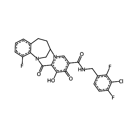 O=C(NCc1ccc(F)c(Cl)c1F)c1cn2c(c(O)c1=O)C(=O)N1CC2CCc2cccc(F)c21